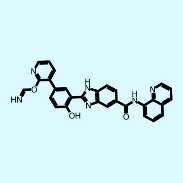 N=COc1ncccc1-c1ccc(O)c(-c2nc3cc(C(=O)Nc4cccc5cccnc45)ccc3[nH]2)c1